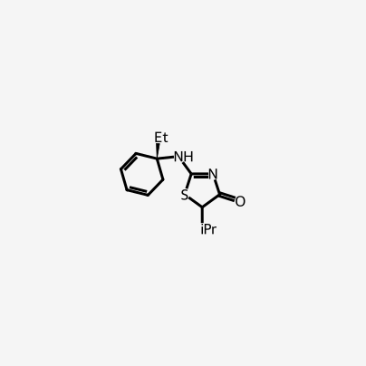 CC[C@]1(NC2=NC(=O)C(C(C)C)S2)C=CC=CC1